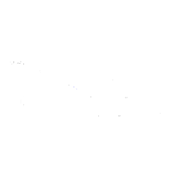 CNC(=O)/C(C)=C\N(C=O)C1C=CC(CO)O1